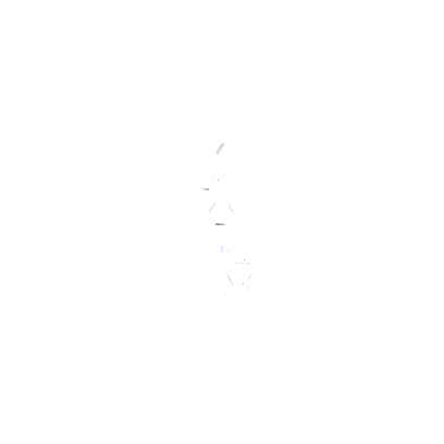 C#CCNC(=O)c1ccc(CNc2cc(Cl)ncn2)cc1